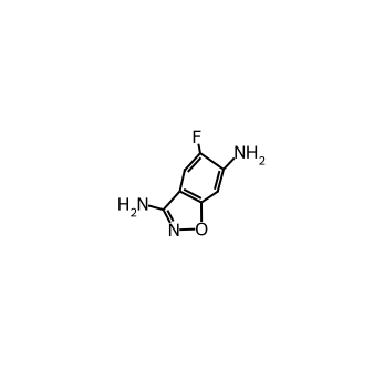 Nc1cc2onc(N)c2cc1F